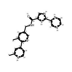 Cc1cc(-c2ncc(CNC(=O)c3cnc(-c4cnccn4)s3)cc2C)ccn1